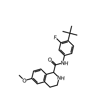 COc1ccc2c(c1)CCNC2C(=O)Nc1ccc(C(C)(C)C)c(F)c1